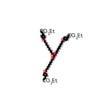 CCOC(=O)/C=C/c1ccc(OCCCCCCCCCCCOCC(COCCCCCCCCCCCOc2ccc(/C=C/C(=O)OCC)cc2)OCCCCCCCCCCCOc2ccc(/C=C/C(=O)OCC)cc2)cc1